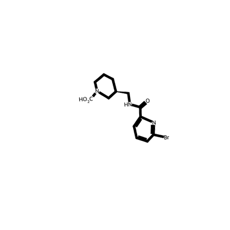 O=C(NC[C@@H]1CCCN(C(=O)O)C1)c1cccc(Br)n1